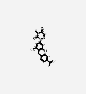 CC(=O)c1ccc(Cc2c(Cl)cc(-n3ncc(=O)n(C)c3=O)cc2Cl)cc1